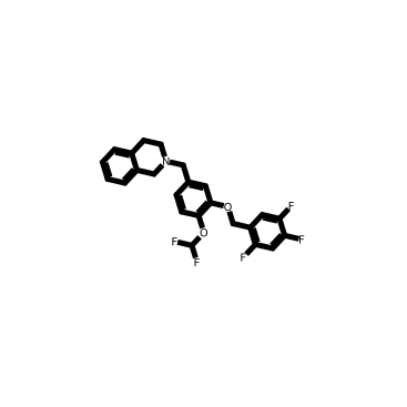 Fc1cc(F)c(COc2cc(CN3CCc4ccccc4C3)ccc2OC(F)F)cc1F